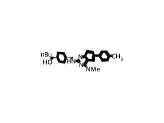 CCCCC(O)[C@H]1CC[C@H](CNc2nc(NC)c3cc(-c4ccc(C)cc4)ccc3n2)CC1